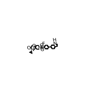 O=C1COC2(CCN(S(=O)(=O)c3ccc(-c4ccc5cc[nH]c5c4)cc3F)CC2)CN1C1CC1